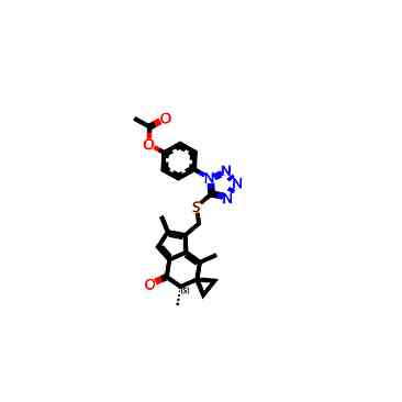 CC(=O)Oc1ccc(-n2nnnc2SCC2=C(C)C=C3C(=O)[C@@H](C)C4(CC4)C(C)=C32)cc1